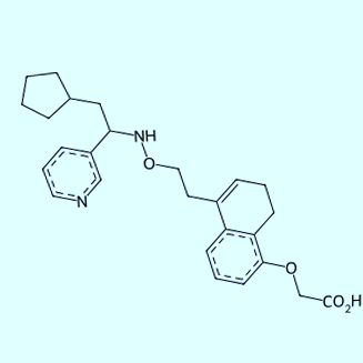 O=C(O)COc1cccc2c1CCC=C2CCONC(CC1CCCC1)c1cccnc1